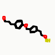 O=CCCc1ccc(OCc2ccc(CCOS)cc2)cc1